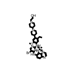 CCc1cc(Nc2ncc(Br)c(Nc3ccc4nccnc4c3NS(C)(=O)=O)n2)c(OC)cc1C1CCN(C2CCN(CCO)CC2)CC1